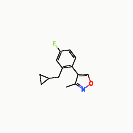 Cc1nocc1-c1ccc(F)cc1CC1CC1